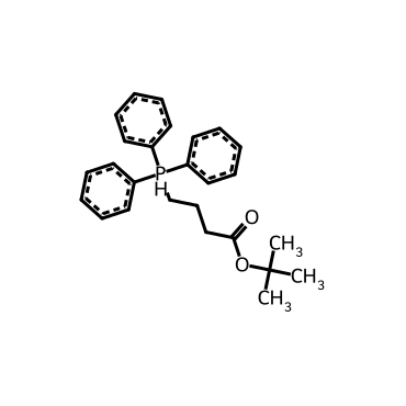 CC(C)(C)OC(=O)CCC[PH](c1ccccc1)(c1ccccc1)c1ccccc1